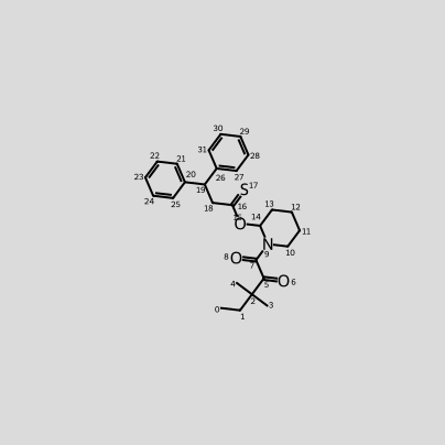 CCC(C)(C)C(=O)C(=O)N1CCCCC1OC(=S)CC(c1ccccc1)c1ccccc1